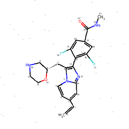 C=Cc1ccn2c(C[C@H]3CNCCO3)c(-c3c(F)cc(C(=O)NC)cc3F)nc2c1